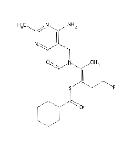 C/C(=C(\CCF)SC(=O)C1CCCCC1)N(C=O)Cc1cnc(C)nc1N